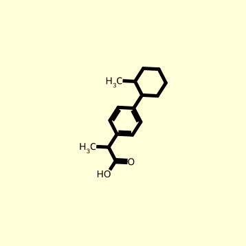 CC(C(=O)O)c1ccc(C2CCCCC2C)cc1